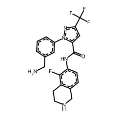 NCc1cccc(-n2nc(C(F)(F)F)cc2C(=O)Nc2ccc3c(c2F)CCNC3)c1